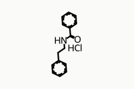 Cl.O=C(NCCc1ccccc1)c1ccccc1